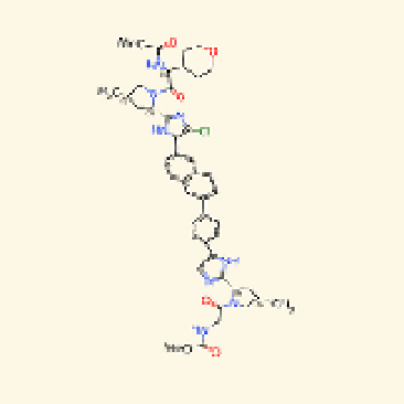 COC(=O)NCC(=O)N1C[C@@H](C)C[C@H]1c1ncc(-c2ccc(-c3ccc4cc(-c5[nH]c([C@@H]6C[C@H](C)CN6C(=O)[C@@H](NC(=O)OC)C6CCOCC6)nc5Cl)ccc4c3)cc2)[nH]1